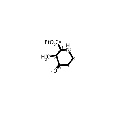 CCOC(=O)C1NCCC(=O)C1C